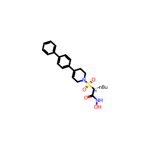 CCCC[C@H](C(=O)NO)S(=O)(=O)N1CC=C(c2ccc(-c3ccccc3)cc2)CC1